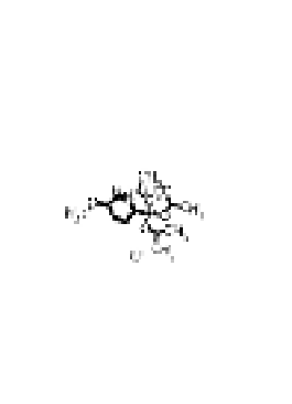 COc1ccc([B-](OC(C)C)(OC(C)C)OC(C)C)nc1.[Li+]